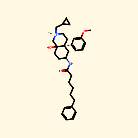 COc1cccc([C@@]23CC[N@+](C)(CC4CC4)CC2(O)CC[C@H](NC(=O)CCCCCc2ccccc2)C3)c1